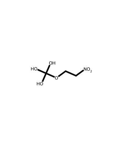 O=[N+]([O-])CCOC(O)(O)O